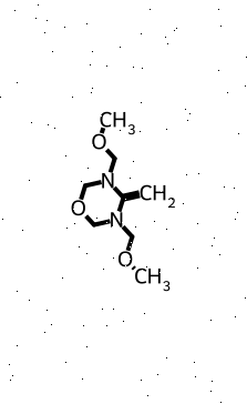 C=C1N(COC)COCN1COC